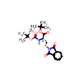 CC(C)(C)OC(=O)N[C@@H](CSN1C(=O)c2ccccc2C1=O)C(=O)OC(C)(C)C